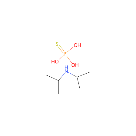 CC(C)NC(C)C.OP(O)(O)=S